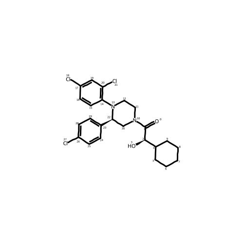 O=C([C@H](O)C1CCCCC1)N1CCN(c2ccc(Cl)cc2Cl)[C@H](c2ccc(Cl)cc2)C1